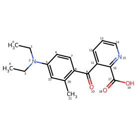 CCN(CC)c1ccc(C(=O)c2cccnc2C(=O)O)c(C)c1